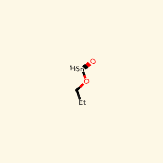 CCC[O][SnH]=[O]